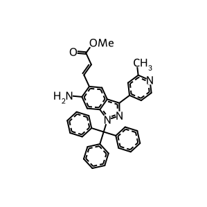 COC(=O)C=Cc1cc2c(-c3ccnc(C)c3)nn(C(c3ccccc3)(c3ccccc3)c3ccccc3)c2cc1N